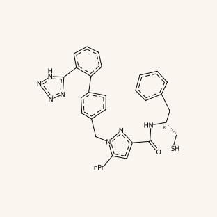 CCCc1cc(C(=O)N[C@@H](CS)Cc2ccccc2)nn1Cc1ccc(-c2ccccc2-c2nnn[nH]2)cc1